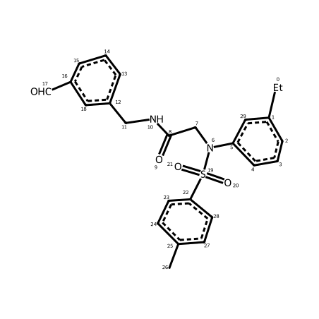 CCc1cccc(N(CC(=O)NCc2cccc(C=O)c2)S(=O)(=O)c2ccc(C)cc2)c1